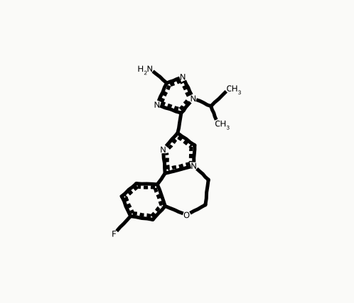 CC(C)n1nc(N)nc1-c1cn2c(n1)-c1ccc(F)cc1OCC2